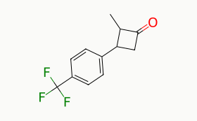 CC1C(=O)CC1c1ccc(C(F)(F)F)cc1